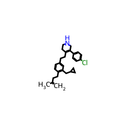 C=C(C)CCc1ccc(CCC2=C(c3ccc(Cl)cc3)CNCC2)cc1CC1CC1